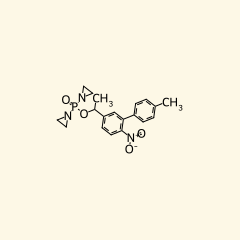 Cc1ccc(-c2cc(C(C)OP(=O)(N3CC3)N3CC3)ccc2[N+](=O)[O-])cc1